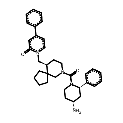 N[C@@H]1CCN(C(=O)N2CC[C@H](Cn3ccc(-c4ccccc4)cc3=O)C3(CCCC3)C2)[C@H](c2ccccc2)C1